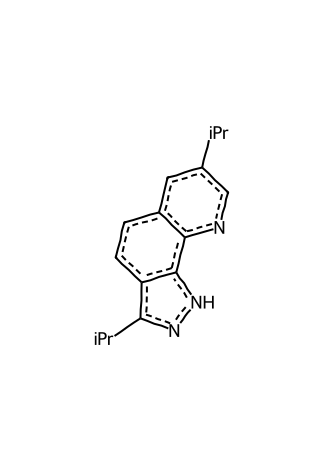 CC(C)c1cnc2c(ccc3c(C(C)C)n[nH]c32)c1